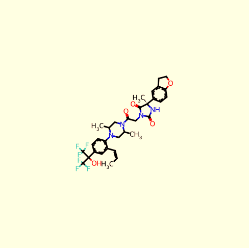 C/C=C\c1cc(C(O)(C(F)(F)F)C(F)(F)F)ccc1N1CC(C)N(C(=O)CN2C(=O)N[C@](C)(c3ccc4c(c3)CCO4)C2=O)CC1C